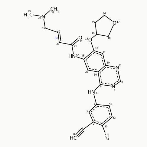 C#Cc1cc(Nc2ncnc3cc(OC4CCOC4)c(NC(=O)/C=C/CN(C)C)cc23)ccc1Cl